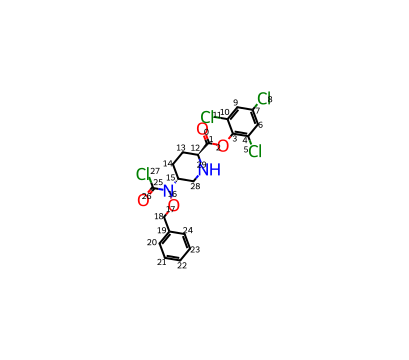 O=C(Oc1c(Cl)cc(Cl)cc1Cl)[C@@H]1CC[C@@H](N(OCc2ccccc2)C(=O)Cl)CN1